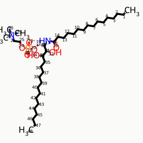 CCCCCCCCCCCCCCCC(=O)N[C@@H](COP(=O)([O-])OCC[N+](C)(C)C)[C@H](O)[C@H](O)CCCCCCCCCCCCCC